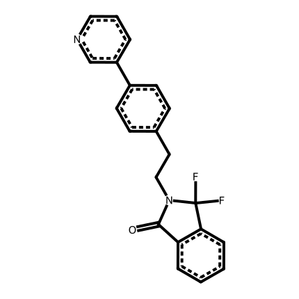 O=C1c2ccccc2C(F)(F)N1CCc1ccc(-c2cccnc2)cc1